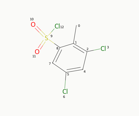 Cc1c(Cl)cc(Cl)cc1S(=O)(=O)Cl